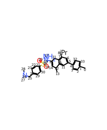 Cc1ccc(-c2cc(C(C)C)c3c(c2)C(C)C=C(N(N)S(=O)(=O)c2ccc(CN(C)C)cc2)C3)cc1